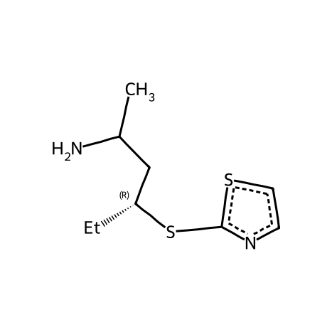 CC[C@H](CC(C)N)Sc1nccs1